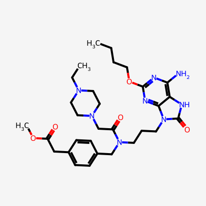 CCCCOc1nc(N)c2[nH]c(=O)n(CCCN(Cc3ccc(CC(=O)OC)cc3)C(=O)CN3CCN(CC)CC3)c2n1